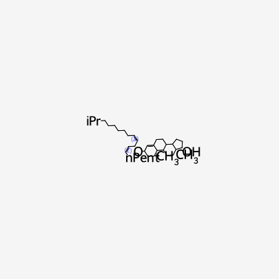 CCCCC/C=C\C(/C=C\CCCCCCC(C)C)OC1C=C2CCC3C(CCC4(C)C(O)CCC34)C2(C)CC1